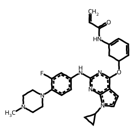 C=CC(=O)NC1=CC=CC(Oc2nc(Nc3ccc(N4CCN(C)CC4)c(F)c3)nc3c2ccn3C2CC2)C1